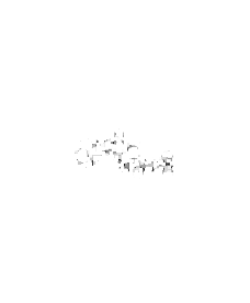 CN(C)[C@H]1CN(C2CCc3cccc(F)c32)C[C@@H]1c1cn(C)c2c(C(=O)N3CC(S(C)(=O)=O)C3)cccc12